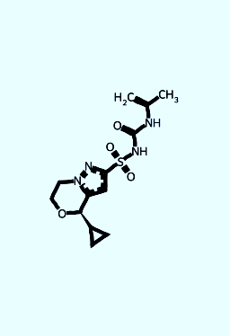 C=C(C)NC(=O)NS(=O)(=O)c1cc2n(n1)CCO[C@@H]2C1CC1